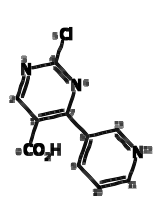 O=C(O)c1cnc(Cl)nc1-c1cccnc1